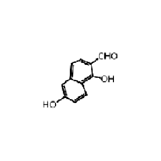 O=Cc1ccc2cc(O)ccc2c1O